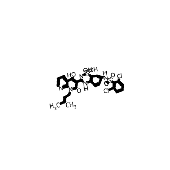 CC(C)CCn1c(=O)c(C2=NS(O)(O)c3cc(NS(=O)(=O)c4c(Cl)cccc4Cl)ccc3N2)c(O)c2cccnc21